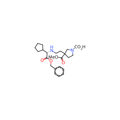 COC(=O)C1(CCN[C@H](C(=O)OCc2ccccc2)C2CCCC2)CCN(C(=O)O)C1